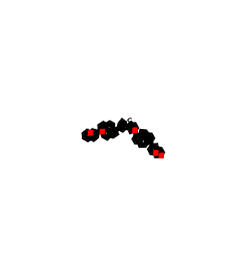 c1ccc2cc(-c3ccc4ccc5c(-c6ccc7sc8ccc(-c9ccc%10ccc%11c(-c%12ccc%13ccccc%13c%12)ccc%12ccc9c%10c%12%11)cc8c7c6)ccc6ccc3c4c65)ccc2c1